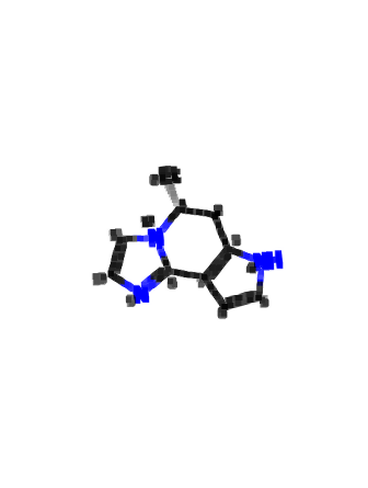 CC[C@@H]1Cc2[nH]ccc2-c2nccn21